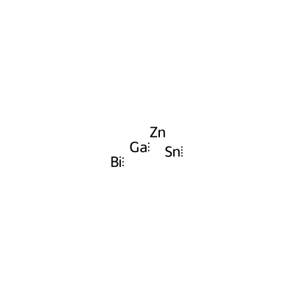 [Bi].[Ga].[Sn].[Zn]